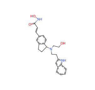 O=C(C=Cc1ccc2c(c1)CCC2N(CCO)CCc1cc2ccccc2[nH]1)NO